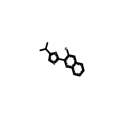 CC(C)c1csc(-c2nc3ccccc3[c]c2Cl)n1